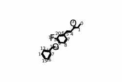 CCC(=O)C=Cc1ccc(OCc2ccccc2)c(F)c1